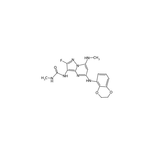 CNC(=O)Nc1c(F)nn2c(NC)cc(Nc3cccc4c3OCCO4)nc12